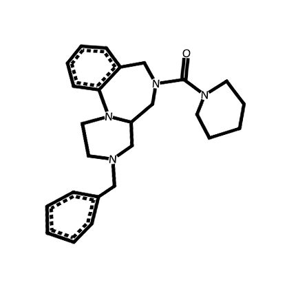 O=C(N1CCCCC1)N1Cc2ccccc2N2CCN(Cc3ccccc3)CC2C1